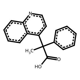 CC(C(=O)O)(c1ccccc1)c1ccnc2ccccc12